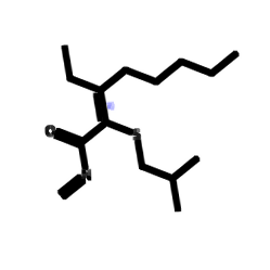 C=NC(=O)/C(SCC(C)C)=C(\CC)CCCCC